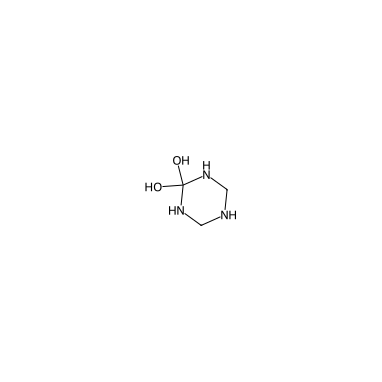 OC1(O)NCNCN1